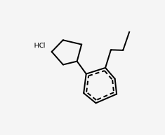 CCCc1ccccc1C1CCCC1.Cl